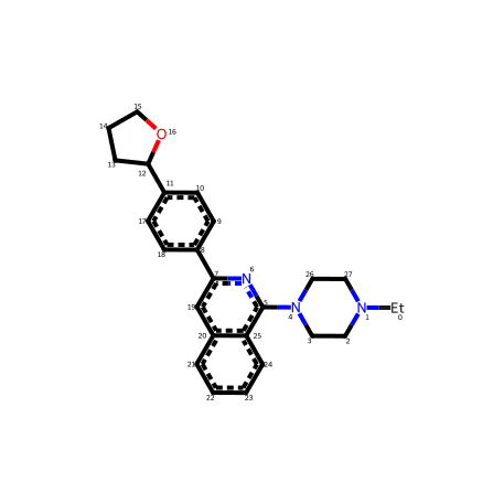 CCN1CCN(c2nc(-c3ccc(C4CCCO4)cc3)cc3ccccc23)CC1